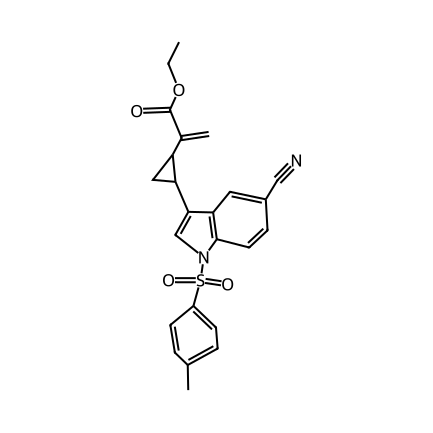 C=C(C(=O)OCC)C1CC1c1cn(S(=O)(=O)c2ccc(C)cc2)c2ccc(C#N)cc12